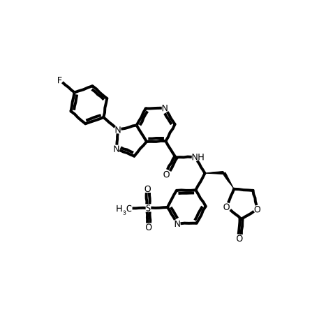 CS(=O)(=O)c1cc([C@H](C[C@H]2COC(=O)O2)NC(=O)c2cncc3c2cnn3-c2ccc(F)cc2)ccn1